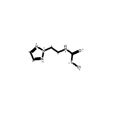 CCSC(=O)NCCn1nccn1